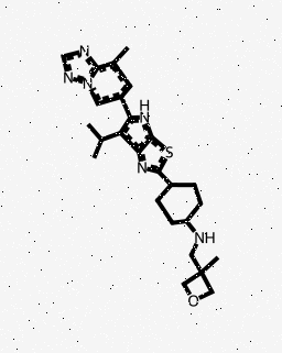 Cc1cc(-c2[nH]c3sc(C4CCC(NCC5(C)COC5)CC4)nc3c2C(C)C)cn2ncnc12